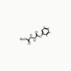 CC(C)COC(=O)NNC(=O)Oc1ccccc1